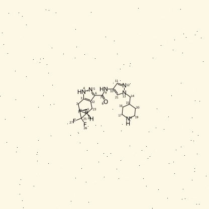 C[C@@]12Cc3[nH]nc(C(=O)Nc4cnn(CC5CCNCC5)c4)c3C[C@@H]1C2(F)F